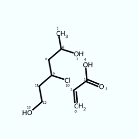 C=CC(=O)O.CC(O)CC(Cl)CCO